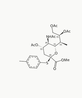 COC(=O)[C@]1(Sc2ccc(C)cc2)C[C@H](OC(C)=O)[C@@H](NC(C)=O)[C@H]([C@H](C)[C@@H](COC(C)=O)OC(C)=O)O1